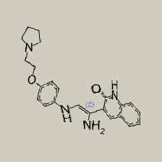 N/C(=C\Nc1ccc(OCCN2CCCC2)cc1)c1cc2ccccc2[nH]c1=O